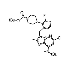 Cc1nc2c(NC(C)(C)C)cc(Cl)nn2c1Cc1cccc(F)c1C1CCN(C(=O)OC(C)(C)C)CC1